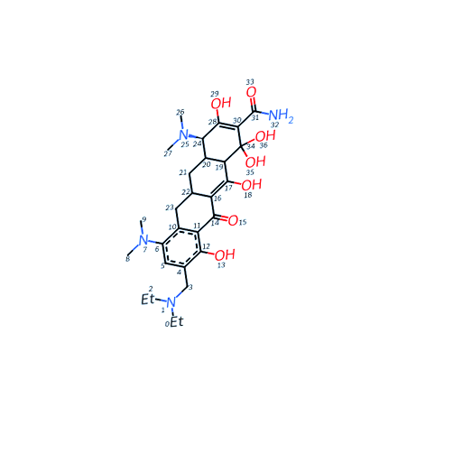 CCN(CC)Cc1cc(N(C)C)c2c(c1O)C(=O)C1=C(O)C3C(CC1C2)[C@@H](N(C)C)C(O)=C(C(N)=O)C3(O)O